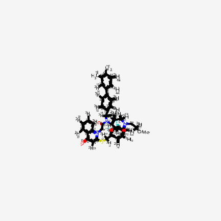 [2H]c1c([2H])c(F)c(F)c(C([2H])([2H])Sc2c([2H])c(=O)c3c([2H])c([2H])c([2H])c([2H])c3n2CC(=O)N(C([2H])([2H])c2c([2H])c([2H])c(-c3c([2H])c([2H])c(C(F)(F)F)c(C)c3[2H])c([2H])c2[2H])C2([2H])C([2H])([2H])C([2H])([2H])N(CC([2H])([2H])OC)C([2H])([2H])C2([2H])[2H])c1[2H]